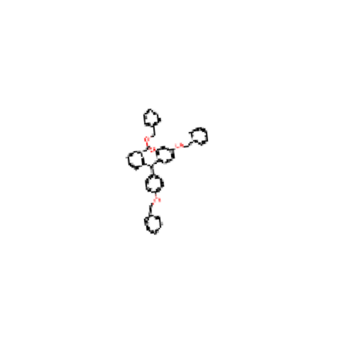 O=C(OCc1ccccc1)c1ccccc1C(c1ccc(OCc2ccccc2)cc1)c1ccc(OCc2ccccc2)cc1